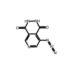 [N-]=[N+]=Nc1cncc2c(=O)[nH][nH]c(=O)c12